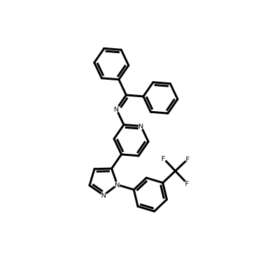 FC(F)(F)c1cccc(-n2nccc2-c2ccnc(N=C(c3ccccc3)c3ccccc3)c2)c1